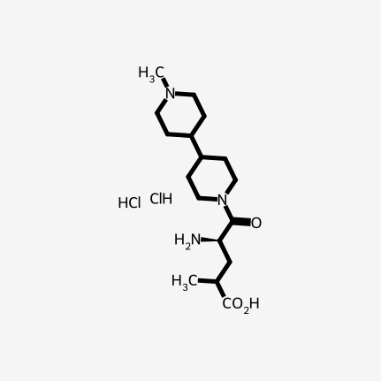 CC(C[C@@H](N)C(=O)N1CCC(C2CCN(C)CC2)CC1)C(=O)O.Cl.Cl